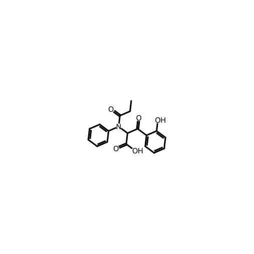 CCC(=O)N(c1ccccc1)C(C(=O)O)C(=O)c1ccccc1O